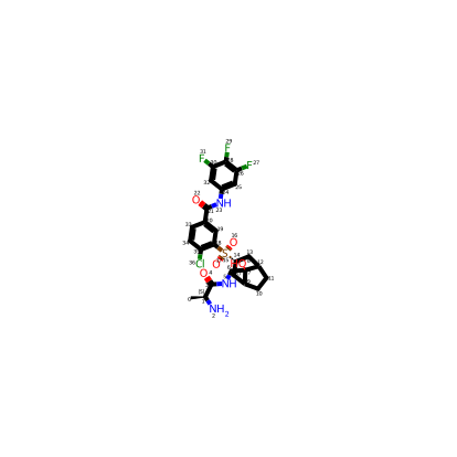 C[C@H](N)C(=O)NC[C@]1(O)C2CCC1C[C@@H](S(=O)(=O)c1cc(C(=O)Nc3cc(F)c(F)c(F)c3)ccc1Cl)C2